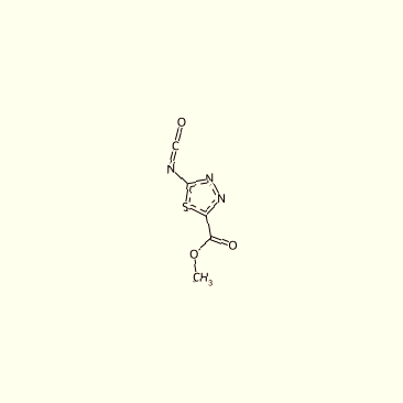 COC(=O)c1nnc(N=C=O)s1